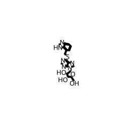 OCC1OC(n2cnc3c(SCc4cccc5nc[nH]c45)ncnc32)C(O)C1O